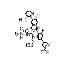 Cc1cccnc1-c1cc([C@@H](COC(=O)NC2CC2)N(C(=N)NCCC(C)(C)C)C(=O)c2ccc(-c3cnn(C(F)F)c3)cc2F)ccc1Cl